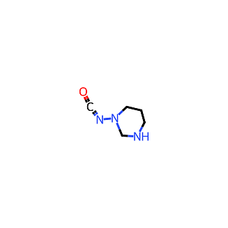 O=C=NN1CCCNC1